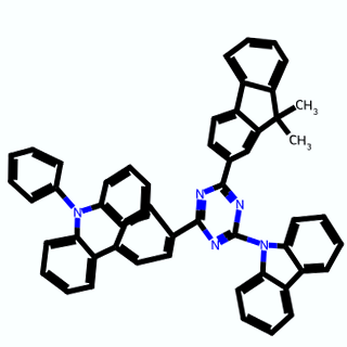 CC1(C)c2ccccc2-c2ccc(-c3nc(-c4ccc(-c5ccccc5N(c5ccccc5)c5ccccc5)cc4)nc(-n4c5ccccc5c5ccccc54)n3)cc21